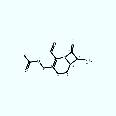 CC(=O)OCC1=C(C=O)N2C(=O)C(N)C2SC1